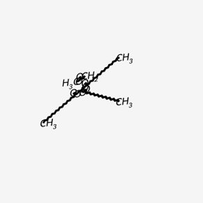 C=CC(=O)OC.CCCCCCCCCCCCCCCCCC(=O)OCC(COC(=O)CCCCCCCCCCCCCCCCC)OC(=O)CCCCCCCCCCCCCCCCC